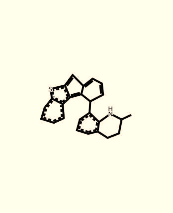 CC1CCc2cccc(C3C=CC=C4C=c5sc6ccccc6c5=C43)c2N1